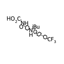 CCC(C)[C@@H](COc1ccc(-c2ccc(C(F)(F)F)cc2)cc1)Nc1ccc(C(=O)NCCC(=O)O)cc1